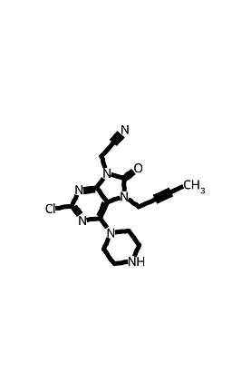 CC#CCn1c(=O)n(CC#N)c2nc(Cl)nc(N3CCNCC3)c21